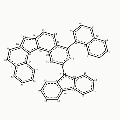 c1ccc2c(-c3nc(-n4c5ccccc5c5ccccc54)nc4c3ccc3oc5ccc6ccccc6c5c34)cccc2c1